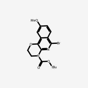 COc1ccc2c(Br)nc3c(c2c1)OCCN3C(=O)OC(C)(C)C